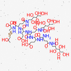 CC(O)CSSCC(NC(=O)C(CCC(=O)NCC(O)C(O)C(O)C(O)CO)NC(=O)C(CCC(=O)O)NC(=O)C(CCC(=O)NCC(O)C(O)C(O)C(O)CO)NC(=O)C(CCC(=O)O)NC(=O)C(N)CCC(=O)NCC(O)C(O)C(O)C(O)CO)C(=O)O